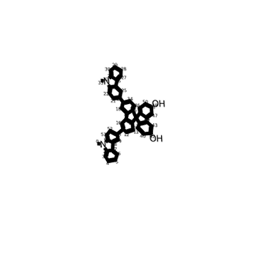 Cn1c2ccccc2c2cc(-c3ccc4c(c3)-c3cc(-c5ccc6c(c5)c5ccccc5n6C)ccc3C4(c3ccc(O)cc3)c3ccc(O)cc3)ccc21